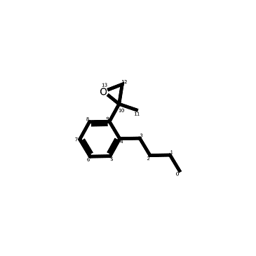 CCCCc1ccccc1C1(C)CO1